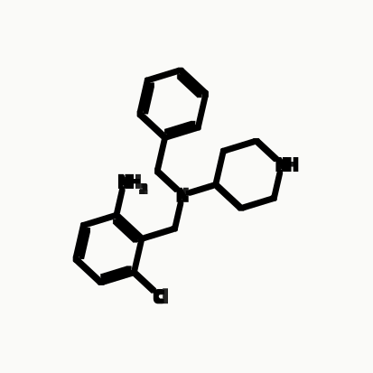 Nc1cccc(Cl)c1CN(Cc1ccccc1)C1CCNCC1